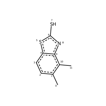 Cc1ccc2sc(S)nc2c1C